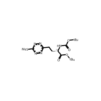 CSc1nnc(CC[C@H](NC(=O)OC(C)(C)C)C(=O)OC(C)(C)C)nn1